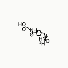 [2H]C(=O)NN(C)Cc1ccc(C(=O)NCCC(=O)O)cc1